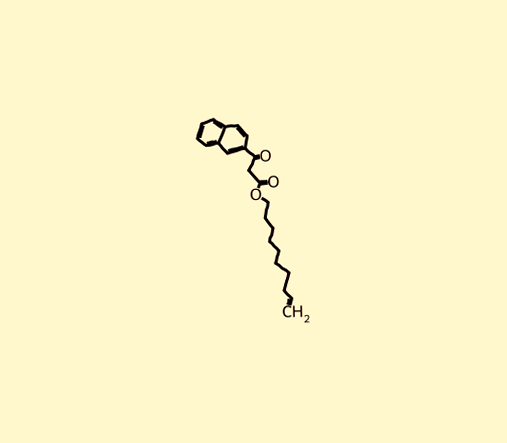 C=CCCCCCCCCOC(=O)CC(=O)c1ccc2ccccc2c1